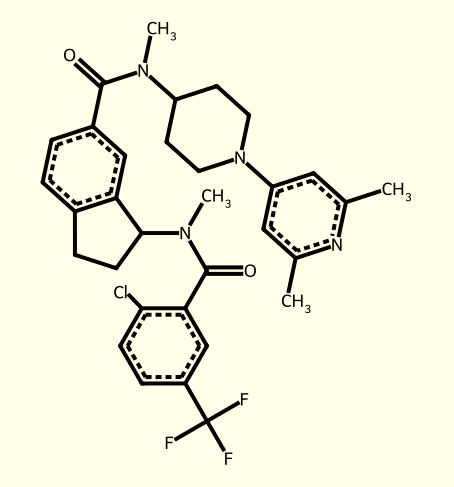 Cc1cc(N2CCC(N(C)C(=O)c3ccc4c(c3)C(N(C)C(=O)c3cc(C(F)(F)F)ccc3Cl)CC4)CC2)cc(C)n1